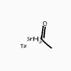 CC=O.[SrH2].[Ta]